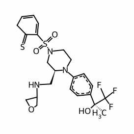 C[C@](O)(c1ccc(N2CCN(S(=O)(=O)C3=CC=CCC3=S)C[C@@H]2CNC2COC2)cc1)C(F)(F)F